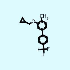 Cc1ccc(-c2ccc(C(F)(F)F)cc2)cc1OCC1CC1